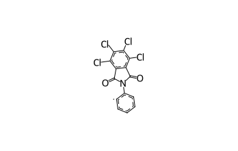 O=C1c2c(Cl)c(Cl)c(Cl)c(Cl)c2C(=O)N1c1[c]cccc1